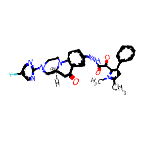 Cc1cc(-c2ccccc2)c(C(=O)C(=O)Nc2ccc3c(c2)C(=O)C[C@H]2CN(c4ncc(F)cn4)CCN32)n1C